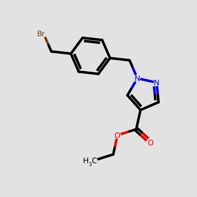 CCOC(=O)c1cnn(Cc2ccc(CBr)cc2)c1